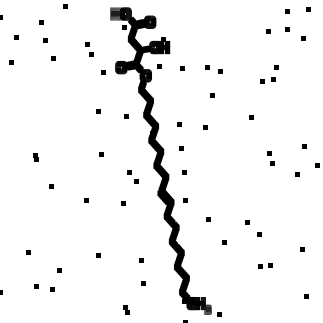 CCCCCCCCC=CCCCCCCCCOC(=O)C(O)CC(=O)O